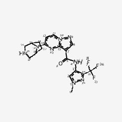 Cn1cc(NC(=O)c2cnn3ccc(N4C5CCC4CNC5)nc23)c(C(F)(F)F)n1